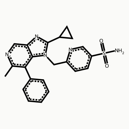 Cc1ncc2nc(C3CC3)n(Cc3ccc(S(N)(=O)=O)cn3)c2c1-c1ccccc1